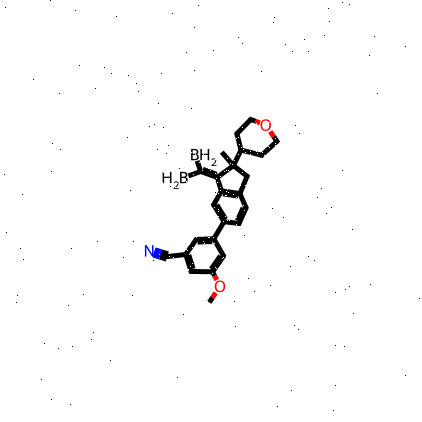 BC(B)=C1c2cc(-c3cc(C#N)cc(OC)c3)ccc2CC1(C)C1CCOCC1